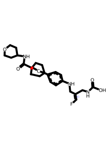 O=C(O)NC/C(=C/F)CNc1ccc(C23CCC(C(=O)NC4CCOCC4)(CC2)CC3)cc1